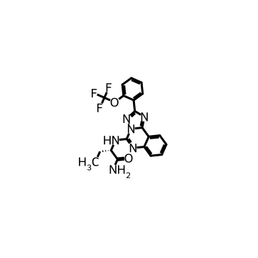 CC[C@H](Nc1nc2ccccc2c2nc(-c3ccccc3OC(F)(F)F)nn12)C(N)=O